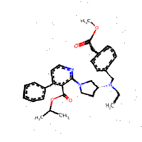 CCN(Cc1ccc(C(=O)OC)cc1)[C@@H]1CCN(c2nccc(-c3ccccc3)c2C(=O)OC(C)C)C1